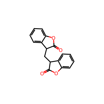 O=C1Oc2ccccc2C1CC1C(=O)Oc2ccccc21